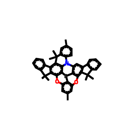 Cc1cc2c3c(c1)Oc1c4c5c(c6c1C(C)(C)c1ccccc1-6)C(C)(C)c1cc(C)ccc1N5c1cc5c(c(c1B34)O2)C(C)(C)c1ccccc1-5